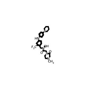 CN1CCN(CC(=O)N(O)Cc2ccc(Nc3ccc(N4CCCCC4)cc3)cc2C(F)(F)F)C(=O)C1